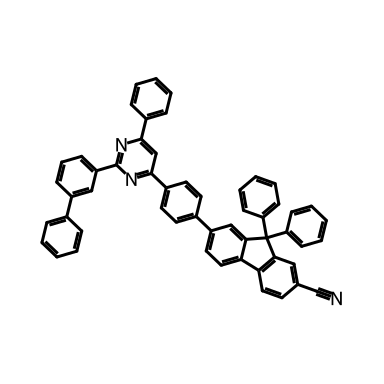 N#Cc1ccc2c(c1)C(c1ccccc1)(c1ccccc1)c1cc(-c3ccc(-c4cc(-c5ccccc5)nc(-c5cccc(-c6ccccc6)c5)n4)cc3)ccc1-2